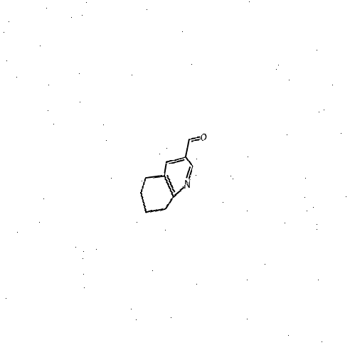 O=Cc1cnc2c(c1)CCCC2